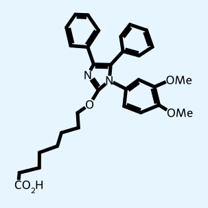 COc1ccc(-n2c(OCCCCCCCC(=O)O)nc(-c3ccccc3)c2-c2ccccc2)cc1OC